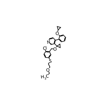 CCOCCSc1ccc(Cl)c(COC2(c3cnccc3-c3ccccc3OC3CC3)CC2)c1